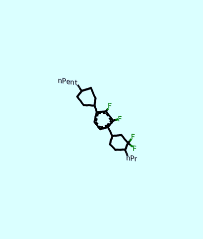 CCCCCC1CCC(c2ccc(C3CCC(CCC)C(F)(F)C3)c(F)c2F)CC1